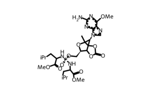 COC(=O)C(CC(C)C)NP(=O)(NC(CC(C)C)C(=O)OC)OC[C@H]1OC2(C)[C@@H](n3cnc4c(OC)nc(N)nc43)C23OC(=O)OC13